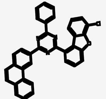 Clc1cccc2c1oc1cccc(-c3nc(-c4ccccc4)nc(-c4ccc5ccc6ccccc6c5c4)n3)c12